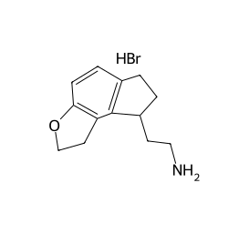 Br.NCCC1CCc2ccc3c(c21)CCO3